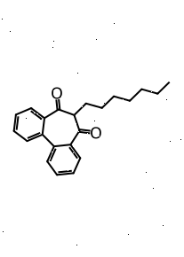 CCCCCCCC1C(=O)c2ccccc2-c2ccccc2C1=O